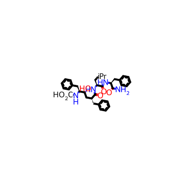 CC(C)C[C@H](NC(=O)[C@H](Cc1ccccc1)C[C@H](O)[C@H](Cc1ccccc1)NC(=O)O)C(=O)N[C@@H](Cc1ccccc1)C(N)=O